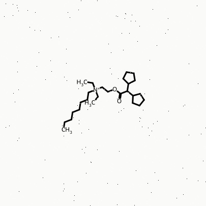 CCCCCCCC[N+](CC)(CC)CCOC(=O)C(C1CCCC1)C1CCCC1